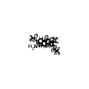 CC(C)C(=O)NC1CCC23C[C@]24C(=O)C[C@]2(C)[C@@H]([C@H](C)N(C)C)[C@H](OC(=O)C(C)(C)C)C[C@@]2(C)[C@@H]4CC[C@H]3[C@]1(C)CN